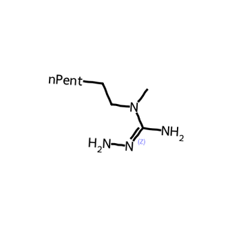 CCCCCCCN(C)/C(N)=N\N